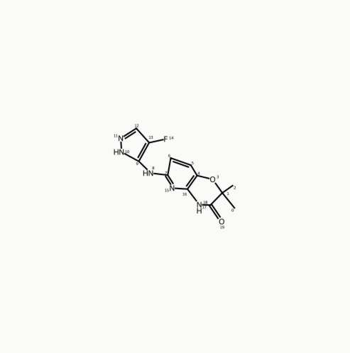 CC1(C)Oc2ccc(Nc3[nH]ncc3F)nc2NC1=O